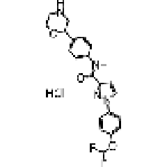 Cl.O=C(Nc1ccc(C2CNCCO2)cc1)c1ccn(-c2ccc(OC(F)F)cc2)n1